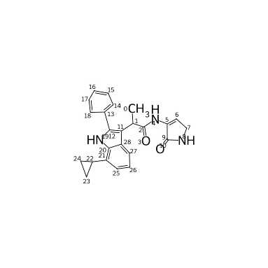 CC(C(=O)NC1=CCNC1=O)c1c(-c2ccccc2)[nH]c2c(C3CC3)cccc12